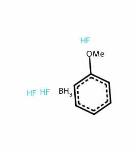 B.COc1ccccc1.F.F.F